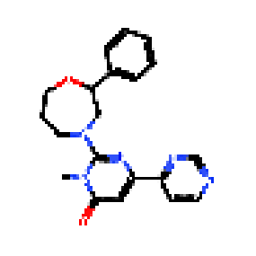 Cn1c(N2CCCOC(c3ccccc3)C2)nc(-c2ccncn2)cc1=O